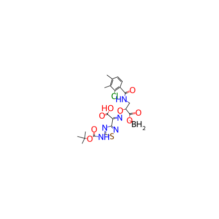 BOC(=O)C(CNC(=O)c1ccc(C)c(C)c1Cl)O/N=C(\C(=O)O)c1nsc(NC(=O)OC(C)(C)C)n1